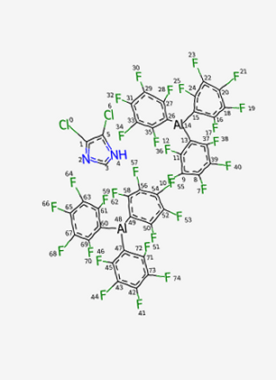 Clc1nc[nH]c1Cl.Fc1c(F)c(F)[c]([Al]([c]2c(F)c(F)c(F)c(F)c2F)[c]2c(F)c(F)c(F)c(F)c2F)c(F)c1F.Fc1c(F)c(F)[c]([Al]([c]2c(F)c(F)c(F)c(F)c2F)[c]2c(F)c(F)c(F)c(F)c2F)c(F)c1F